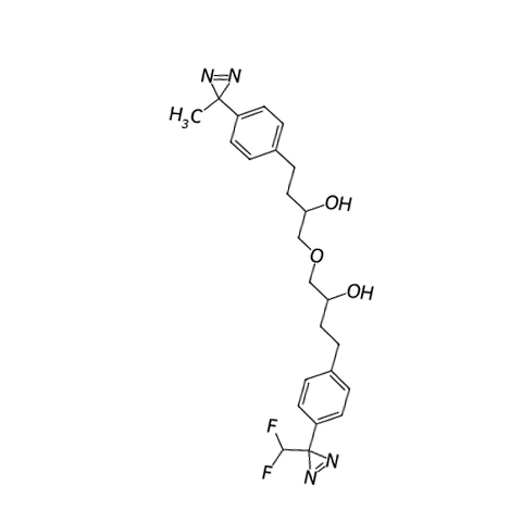 CC1(c2ccc(CCC(O)COCC(O)CCc3ccc(C4(C(F)F)N=N4)cc3)cc2)N=N1